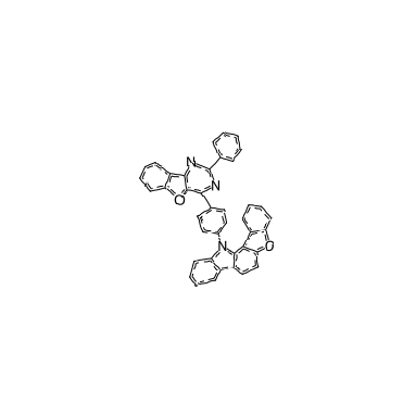 c1ccc(-c2nc(-c3ccc(-n4c5ccccc5c5ccc6oc7ccccc7c6c54)cc3)c3oc4ccccc4c3n2)cc1